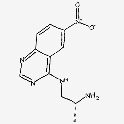 C[C@@H](N)CNc1ncnc2ccc([N+](=O)[O-])cc12